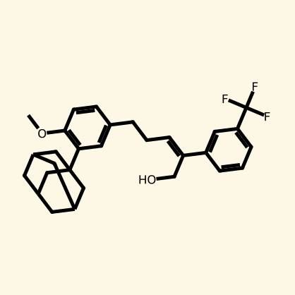 COc1ccc(CCC=C(CO)c2cccc(C(F)(F)F)c2)cc1C12CC3CC(CC(C3)C1)C2